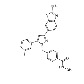 Cc1cccc(-c2cc(-c3ccc4nc(N)sc4c3)nn2Cc2ccc(C(=O)NO)cc2)c1